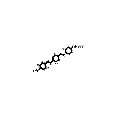 CCCCC[C@H]1CC[C@H](CCC2CC=C(CCc3ccc(CCC)cc3)CC2)CC1